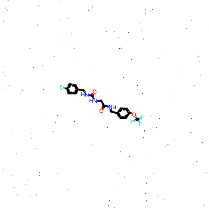 O=C(CNC(=O)NCc1ccc(F)cc1)NCc1ccc(OC(F)(F)F)cc1